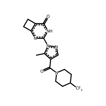 Cc1c(C(=O)N2CCC(C(F)(F)F)CC2)cnn1-c1nc2c(c(=O)[nH]1)CC2